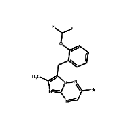 Cc1nc2ncc(Br)nn2c1Cc1ccccc1OC(F)F